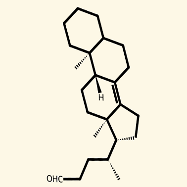 C[C@H](CCC=O)[C@H]1CCC2=C3CCC4CCCC[C@]4(C)[C@H]3CC[C@@]21C